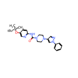 CC(C)(C)[Si](C)(C)Oc1ccc(NC(=O)N2CCN(c3cnn(-c4ccccc4)c3)CC2)nc1